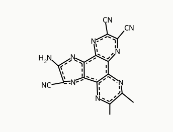 Cc1nc2c(nc1C)c1nc(C#N)c(C#N)nc1c1nc(N)c(C#N)nc21